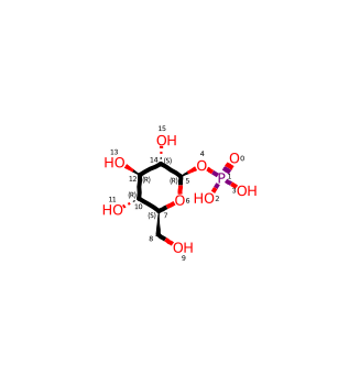 O=P(O)(O)O[C@H]1O[C@@H](CO)[C@H](O)[C@@H](O)[C@@H]1O